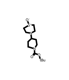 CC(C)(C)OC(=O)N1CCC(N2CC[S+]([O-])CC2)CC1